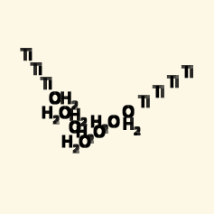 O.O.O.O.O.O.O.[Ti].[Ti].[Ti].[Ti].[Ti].[Ti].[Ti]